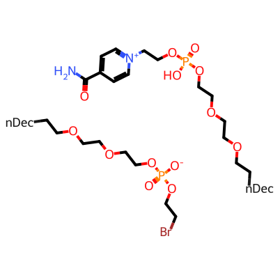 CCCCCCCCCCCCOCCOCCOP(=O)(O)OCC[n+]1ccc(C(N)=O)cc1.CCCCCCCCCCCCOCCOCCOP(=O)([O-])OCCBr